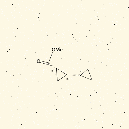 COC(=O)[C@H]1C[C@H]1C1CC1